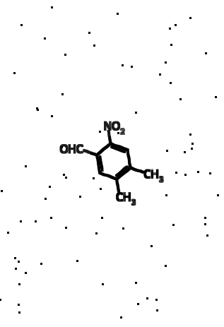 Cc1cc(C=O)c([N+](=O)[O-])cc1C